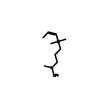 C/C=C\[Si](C)(C)CCCN(C)CCC